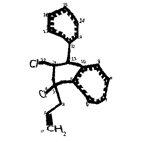 C=CCC1(Cl)c2ccccc2C(c2ccccc2)C1Cl